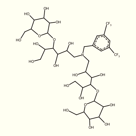 OCC(O)C(OC1OC(CO)C(O)C(O)C1O)C(O)C(O)CN(Cc1cc(C(F)(F)F)cc(C(F)(F)F)c1)CC(O)C(O)C(OC1OC(CO)C(O)C(O)C1O)C(O)CO